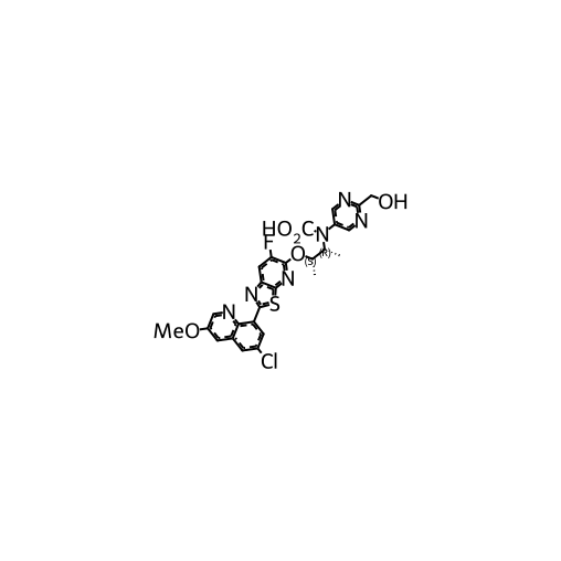 COc1cnc2c(-c3nc4cc(F)c(O[C@@H](C)[C@@H](C)N(C(=O)O)c5cnc(CO)nc5)nc4s3)cc(Cl)cc2c1